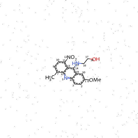 COc1ccc2nc3c(C)ccc([N+](=O)[O-])c3c(NCCO)c2c1